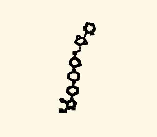 CCC(C)n1ncn(-c2ccc(N3CCN(c4ccc(OC[C@@H]5CO[C@@H](c6ncccn6)O5)cc4)CC3)cc2)c1=O